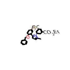 CCOC(=O)c1cc(-n2c(C)ccc2-c2cc(Br)ccc2OCc2ccccc2)cc(C(F)(F)F)c1